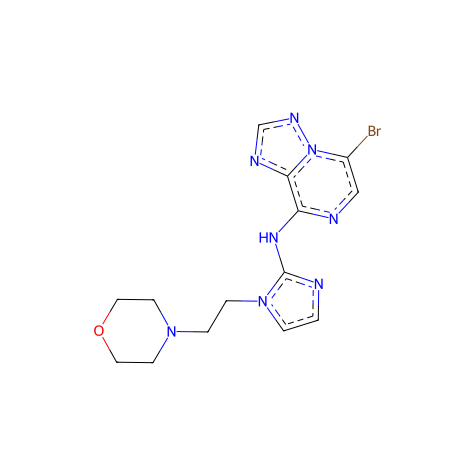 Brc1cnc(Nc2nccn2CCN2CCOCC2)c2ncnn12